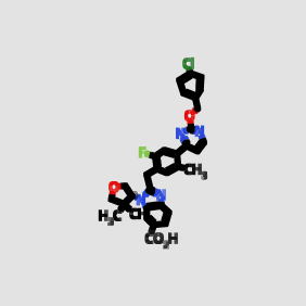 Cc1cc(Cc2nc3ccc(C(=O)O)cc3n2[C@@H]2COCC2(C)C)c(F)cc1-c1ccnc(OCc2ccc(Cl)cc2)n1